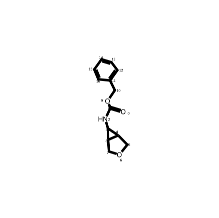 O=C(NC1C2COCC21)OCc1ccccc1